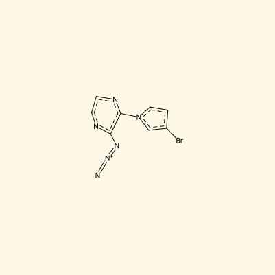 [N-]=[N+]=Nc1nccnc1-n1ccc(Br)c1